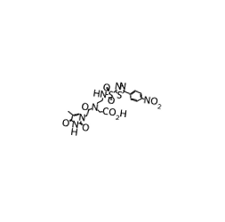 Cc1cn(CC(=O)N(CCNS(=O)(=O)c2nnc(-c3ccc([N+](=O)[O-])cc3)s2)CC(=O)O)c(=O)[nH]c1=O